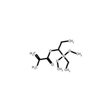 C=C(C)C(=O)OC(CC)[Si](CC)(OC)OC